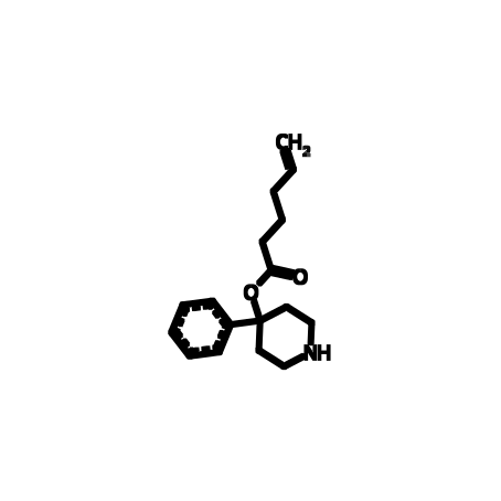 C=CCCCC(=O)OC1(c2ccccc2)CCNCC1